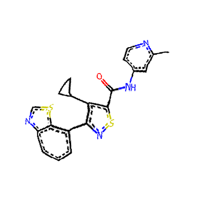 Cc1cc(NC(=O)c2snc(-c3cccc4ncsc34)c2C2CC2)ccn1